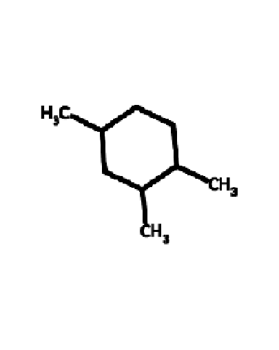 CC1CCC(C)C(C)C1